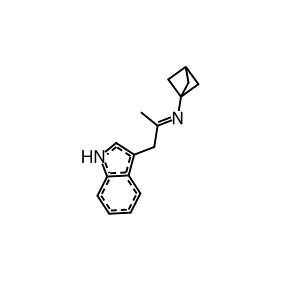 C/C(Cc1c[nH]c2ccccc12)=N\C12CC(C1)C2